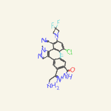 Cn1ncc(-c2ccc3c(=O)[nH]nc(CN)c3c2)c1-c1c(F)c(Cl)cc(N2CC(F)(F)C2)c1C#N